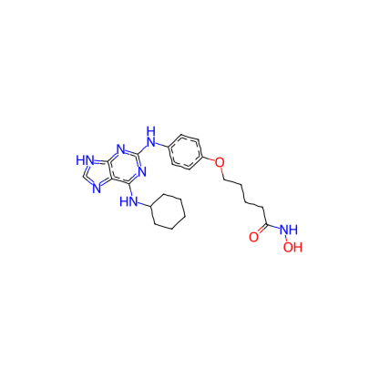 O=C(CCCCOc1ccc(Nc2nc(NC3CCCCC3)c3nc[nH]c3n2)cc1)NO